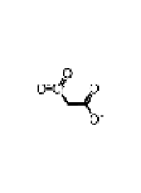 O=C([O-])[CH2][Cr](=[O])[O-]